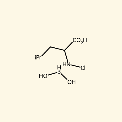 CC(C)CC(NCl)C(=O)O.OBO